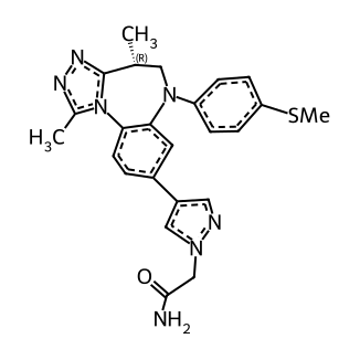 CSc1ccc(N2C[C@@H](C)c3nnc(C)n3-c3ccc(-c4cnn(CC(N)=O)c4)cc32)cc1